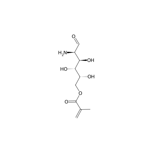 C=C(C)C(=O)OC[C@@H](O)[C@H](O)[C@H](O)[C@@H](N)C=O